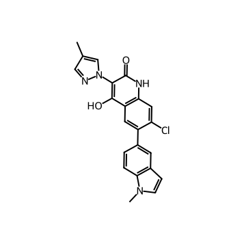 Cc1cnn(-c2c(O)c3cc(-c4ccc5c(ccn5C)c4)c(Cl)cc3[nH]c2=O)c1